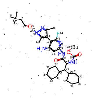 Cc1nn(COCC[Si](C)(C)C)c(C)c1-c1c(N)cc(NC(=O)C(NC(=O)OC(C)(C)C)C(C2CCCCC2)C2CCCCC2)nc1F